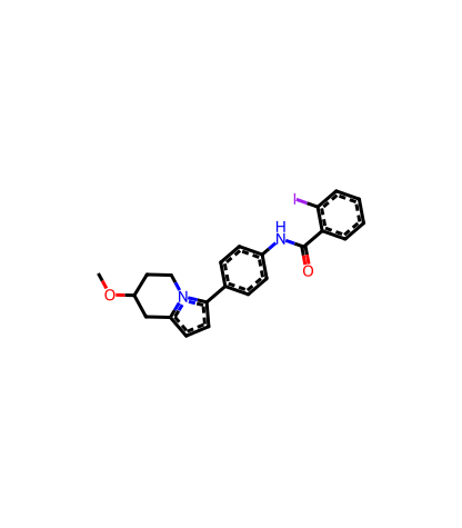 COC1CCn2c(ccc2-c2ccc(NC(=O)c3ccccc3I)cc2)C1